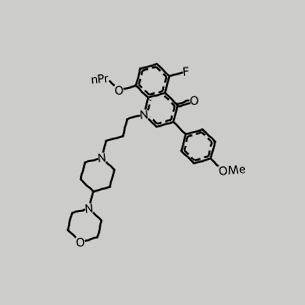 CCCOc1ccc(F)c2c(=O)c(-c3ccc(OC)cc3)cn(CCCN3CCC(N4CCOCC4)CC3)c12